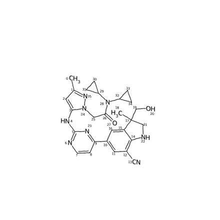 Cc1cc(Nc2nccc(-c3cc(C#N)c4c(c3)C(C)(CO)CN4)n2)n(CC(=O)N(C2CC2)C2CC2)n1